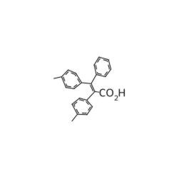 Cc1ccc(/C(C(=O)O)=C(/c2ccccc2)c2ccc(C)cc2)cc1